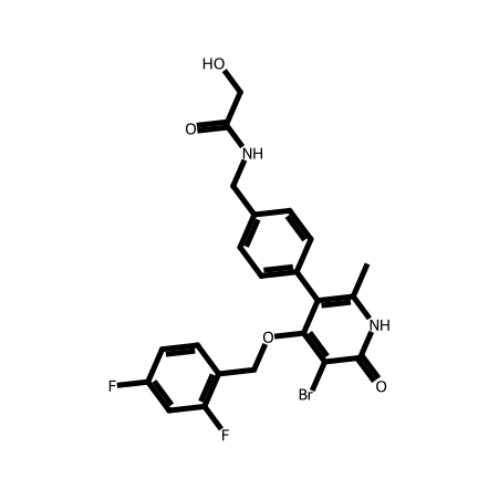 Cc1[nH]c(=O)c(Br)c(OCc2ccc(F)cc2F)c1-c1ccc(CNC(=O)CO)cc1